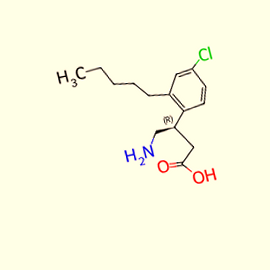 CCCCCc1cc(Cl)ccc1[C@H](CN)CC(=O)O